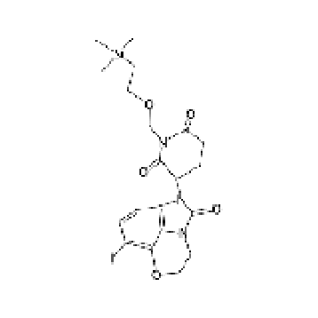 C[Si](C)(C)CCOCN1C(=O)CCC(n2c(=O)n3c4c(c(I)ccc42)OCC3)C1=O